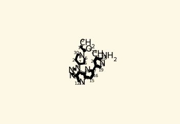 C=CC(=O)N1CCC(n2nnc3cnc4ccc(-c5cnc(N)c(C)c5)nc4c32)CC1